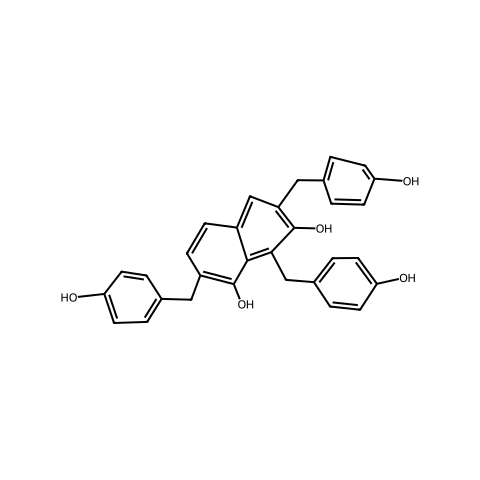 Oc1ccc(Cc2cc3ccc(Cc4ccc(O)cc4)c(O)c3c(Cc3ccc(O)cc3)c2O)cc1